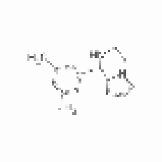 Cc1cc(C)cc(C2NCCn3cccc32)c1